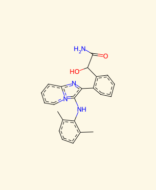 Cc1cccc(C)c1Nc1c(-c2ccccc2C(O)C(N)=O)nc2ccccn12